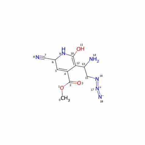 COC(=O)C1=CC(C#N)NC(O)=C1C(N)CN=[N+]=[N-]